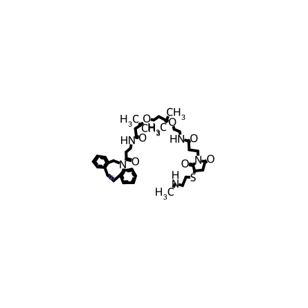 CNCCSC1CC(=O)N(CCC(=O)NCCOC(C)(C)CCOC(C)(C)CC(=O)NCCC(=O)N2Cc3ccccc3/C=C\c3ccccc32)C1=O